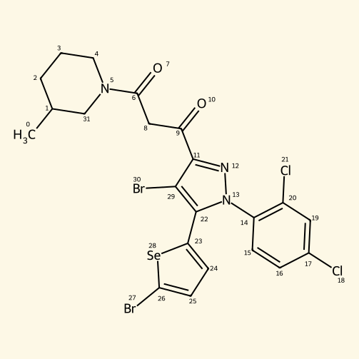 CC1CCCN(C(=O)CC(=O)c2nn(-c3ccc(Cl)cc3Cl)c(-c3ccc(Br)[se]3)c2Br)C1